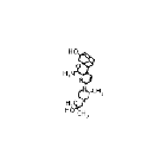 CC1CN(CC(C)(C)O)CCN1c1ccc(C2C3CC4CC2CC(O)(C4)C3)c(C(N)=O)n1